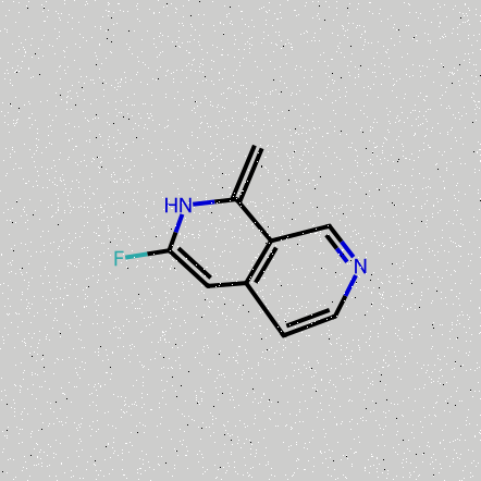 C=C1NC(F)=Cc2ccncc21